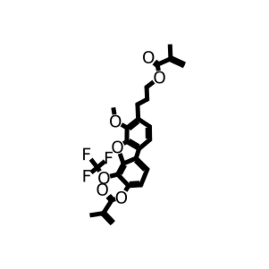 C=C(C)C(=O)OCCCc1ccc2c(oc3c(OC(F)(F)F)c(OC(=O)C(=C)C)ccc32)c1OC